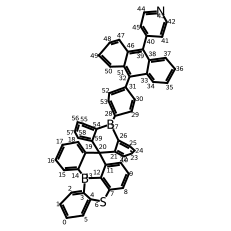 c1ccc2c(c1)Sc1cccc3c1B2c1ccccc1C31c2ccccc2B(c2ccc(-c3c4ccccc4c(-c4ccncc4)c4ccccc34)cc2)c2ccccc21